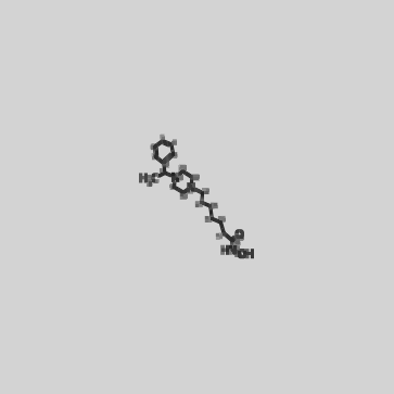 CC(c1ccccc1)N1CCN(CCCCCCC(=O)NO)CC1